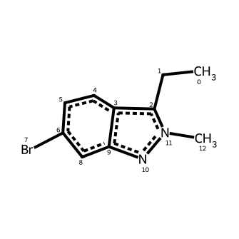 CCc1c2ccc(Br)cc2nn1C